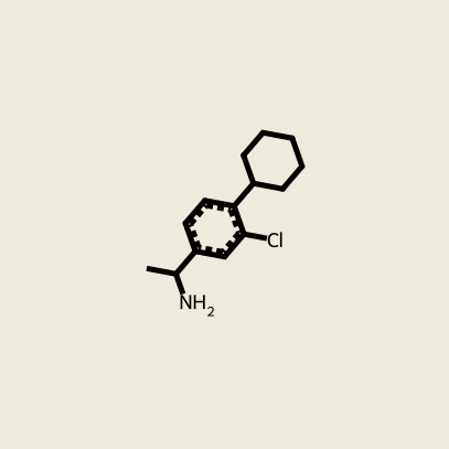 CC(N)c1ccc(C2CCCCC2)c(Cl)c1